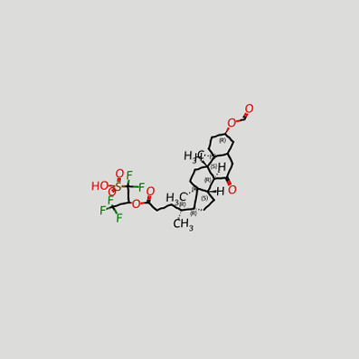 C[C@H](CCC(=O)OC(C(F)(F)F)C(F)(F)S(=O)(=O)O)[C@H]1CC[C@H]2[C@@H]3C(=O)CC4C[C@H](OC=O)CC[C@]4(C)[C@H]3CC[C@]12C